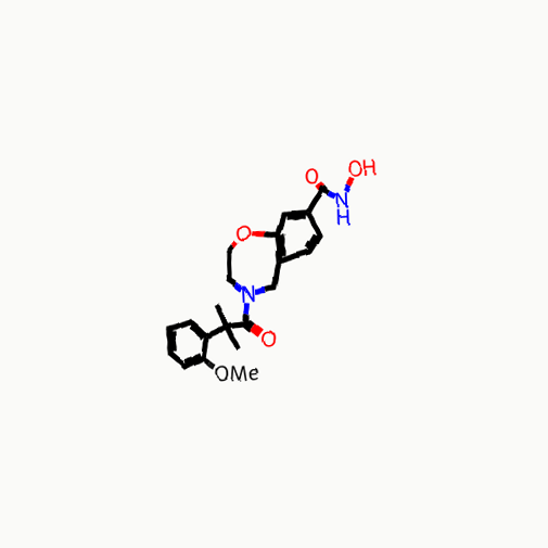 COc1ccccc1C(C)(C)C(=O)N1CCOc2cc(C(=O)NO)ccc2C1